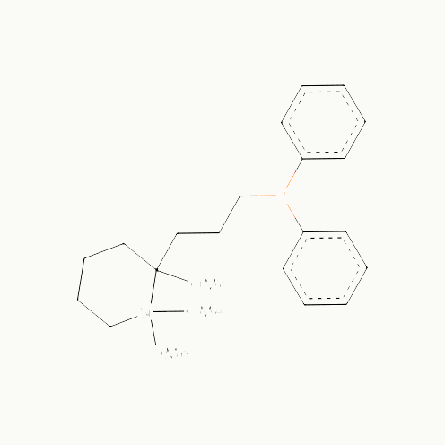 COC1(CCCP(c2ccccc2)c2ccccc2)CCCC[Si]1(OC)OC